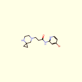 O=C(CCN1CCNC2(CC2)C1)Nc1cc(Br)ccn1